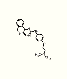 CN(C)CCOc1ccc(Nc2ncc3c(n2)-c2ccccc2CS3)cc1